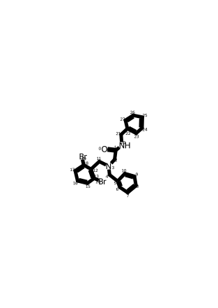 O=C(CN(Cc1ccccc1)Cc1c(Br)cccc1Br)NCc1ccccc1